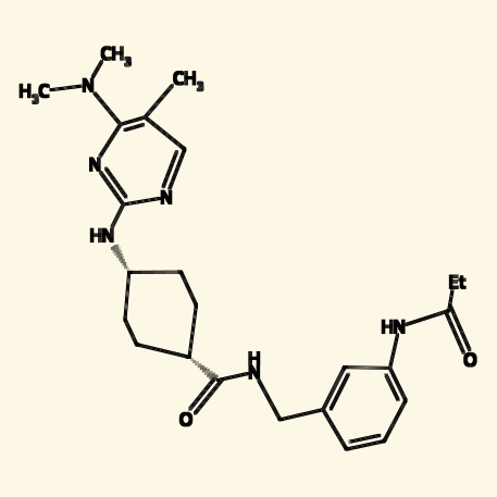 CCC(=O)Nc1cccc(CNC(=O)[C@H]2CC[C@@H](Nc3ncc(C)c(N(C)C)n3)CC2)c1